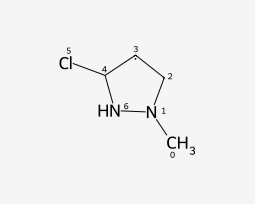 CN1C[CH]C(Cl)N1